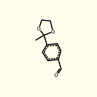 CC1(c2ccc(C=O)cc2)OCCO1